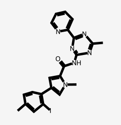 Cc1ccc(-c2cc(C(=O)Nc3nc(C)nc(-c4ccccn4)n3)n(C)c2)c(I)c1